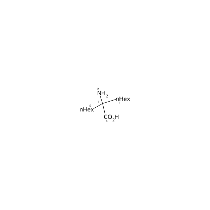 CCCCCCC(N)(CCCCCC)C(=O)O